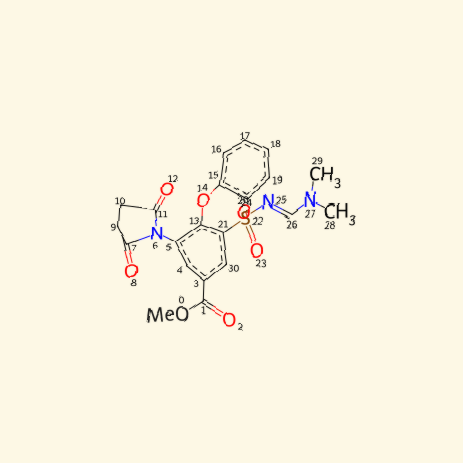 COC(=O)c1cc(N2C(=O)CCC2=O)c(Oc2ccccc2)c(S(=O)(=O)N=CN(C)C)c1